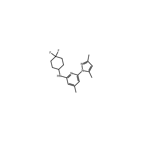 Cc1cc(NC2CCC(F)(F)CC2)nc(-n2nc(C)cc2C)c1